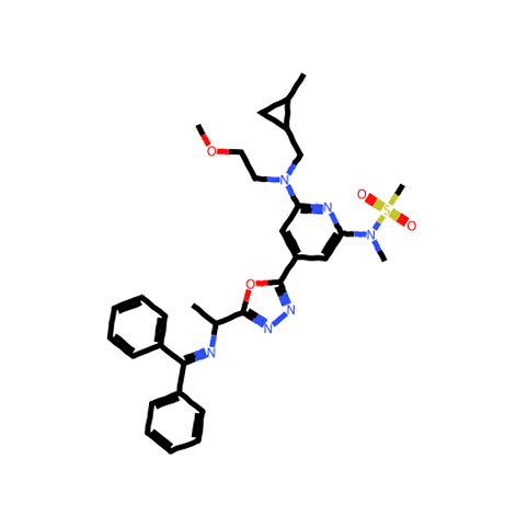 COCCN(CC1CC1C)c1cc(-c2nnc(C(C)N=C(c3ccccc3)c3ccccc3)o2)cc(N(C)S(C)(=O)=O)n1